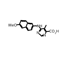 COc1ccc2cc(Nc3ncnc(C(=O)O)c3C)ccc2c1